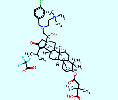 CC(C)C1=C2[C@H]3CC[C@@H]4[C@@]5(C)CC[C@H](OC(=O)CC(C)(C)C(=O)O)C(C)(C)[C@@H]5CC[C@@]4(C)[C@]3(C)CC[C@@]2([C@H](O)CN(CC[N+](C)(C)C)Cc2ccc(Cl)cc2)CC1=O.O=C([O-])C(F)(F)F